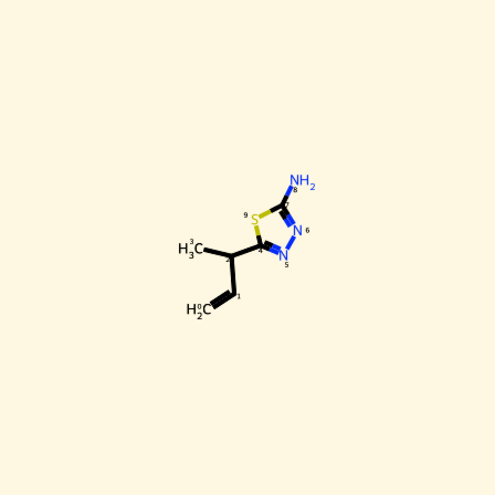 C=CC(C)c1nnc(N)s1